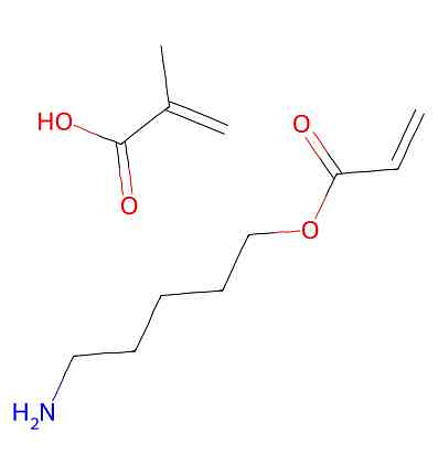 C=C(C)C(=O)O.C=CC(=O)OCCCCCN